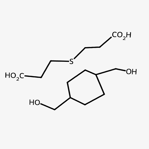 O=C(O)CCSCCC(=O)O.OCC1CCC(CO)CC1